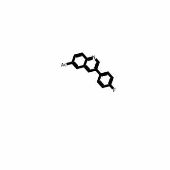 CC(=O)c1ccc2ncc(-c3ccc(F)cc3)cc2c1